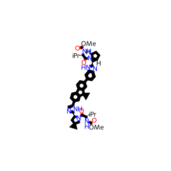 COC(=O)N[C@H](C(=O)N1CC2(CC2)C[C@H]1c1ncc(-c2ccc3c(c2)C2(CC2)c2cc(-c4ccc5nc([C@@H]6[C@H]7CC[C@H](C7)N6C(=O)[C@@H](NC(=O)OC)C(C)C)[nH]c5c4)ccc2-3)[nH]1)C(C)C